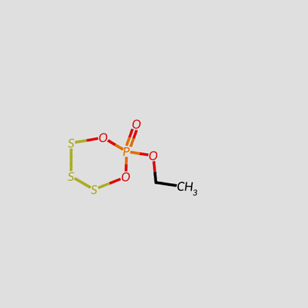 CCOP1(=O)OSSSO1